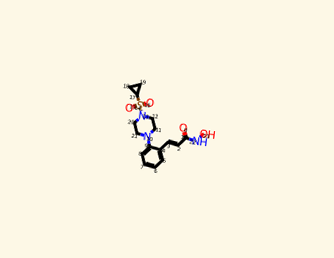 O=C(C=Cc1ccccc1N1CCN(S(=O)(=O)C2CC2)CC1)NO